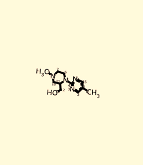 Cc1cnc(N2CCN(C)CC2CO)nc1